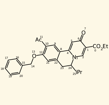 CCOC(=O)c1cn2c(cc1=O)-c1cc(C(C)=O)c(OCc3ccccc3)cc1CC2C(C)C